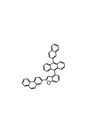 c1ccc2cc(-c3c4ccccc4c(-c4cccc5oc(-c6ccc7c(ccc8ccccc87)c6)cc45)c4ccccc34)ccc2c1